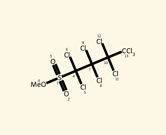 [CH2]OS(=O)(=O)C(Cl)(Cl)C(Cl)(Cl)C(Cl)(Cl)C(Cl)(Cl)Cl